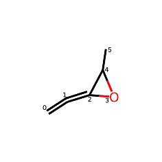 C=C=C1OC1C